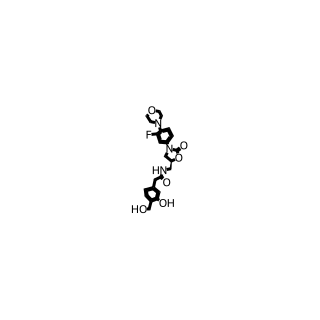 O=C(Cc1ccc(CO)c(O)c1)NC[C@H]1CN(c2ccc(N3CCOCC3)c(F)c2)C(=O)O1